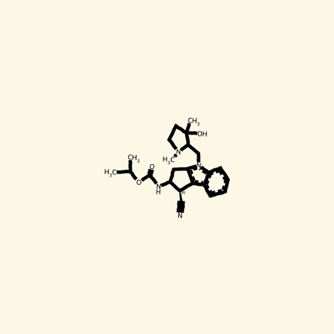 CC(C)OC(=O)NC1Cc2c(c3ccccc3n2CC2N(C)CCC2(C)O)[C@H]1C#N